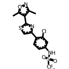 Cc1noc(C)c1-c1nc(-c2ccc(NS(=O)(=O)C(F)(F)F)cc2Cl)cs1